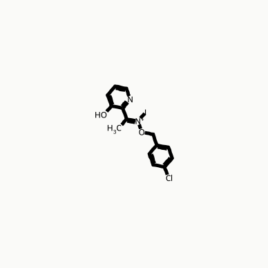 CC(c1ncccc1O)=[N+](I)OCc1ccc(Cl)cc1